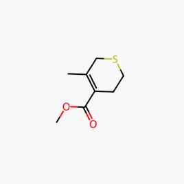 COC(=O)C1=C(C)CSCC1